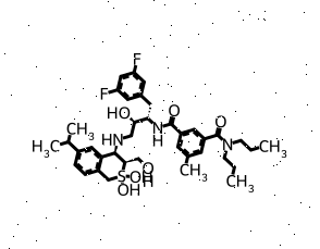 CCCN(CCC)C(=O)c1cc(C)cc(C(=O)N[C@@H](Cc2cc(F)cc(F)c2)[C@H](O)CN[C@@H]2c3cc(C(C)C)ccc3CS(O)(O)[C@@H]2CO)c1